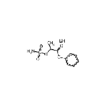 CC(OS(N)(=O)=O)C(=O)Oc1ccccc1.[LiH]